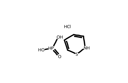 C1=CNSC=C1.Cl.O=[PH](O)O